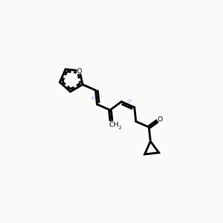 C=C(/C=C\CC(=O)C1CC1)/C=C/c1ccco1